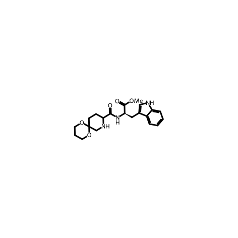 COC(=O)[C@@H](Cc1c[nH]c2ccccc12)NC(=O)C1CCC2(CN1)OCCCO2